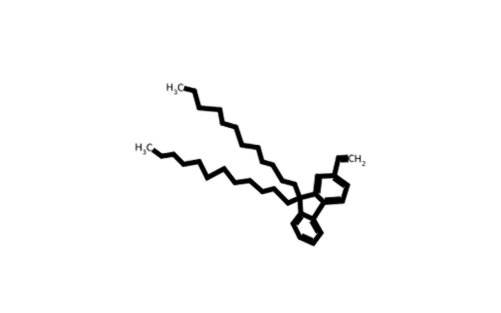 C=Cc1ccc2c(c1)C(CCCCCCCCCCCC)(CCCCCCCCCCCC)c1ccccc1-2